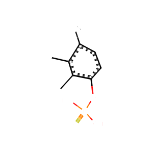 Cc1c(C#N)ccc(OP(O)(O)=S)c1C